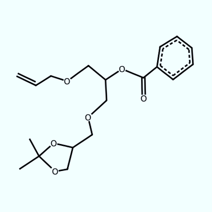 C=CCOCC(COCC1COC(C)(C)O1)OC(=O)c1ccccc1